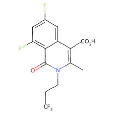 Cc1c(C(=O)O)c2cc(F)cc(F)c2c(=O)n1CCC(F)(F)F